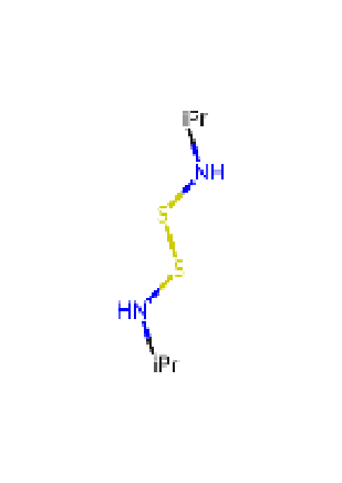 CC(C)NSSNC(C)C